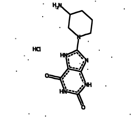 Cl.NC1CCCN(c2nc3[nH]c(=O)[nH]c(=O)c3[nH]2)C1